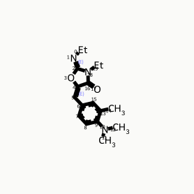 CC/N=C1/O/C(=C/c2ccc(N(C)C)c(C)c2)C(=O)N1CC